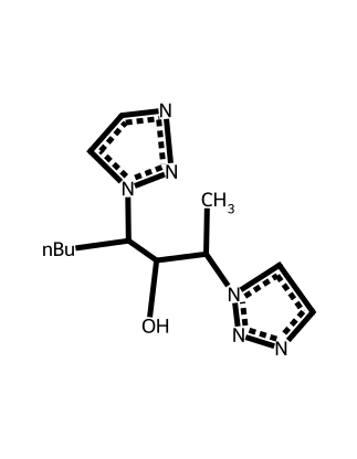 CCCCC(C(O)C(C)n1ccnn1)n1ccnn1